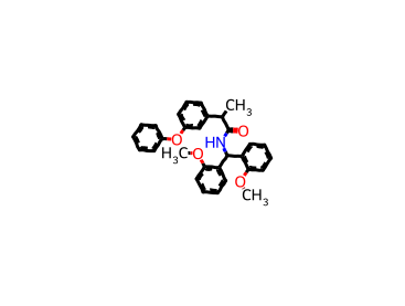 COc1ccccc1C(NC(=O)C(C)c1cccc(Oc2ccccc2)c1)c1ccccc1OC